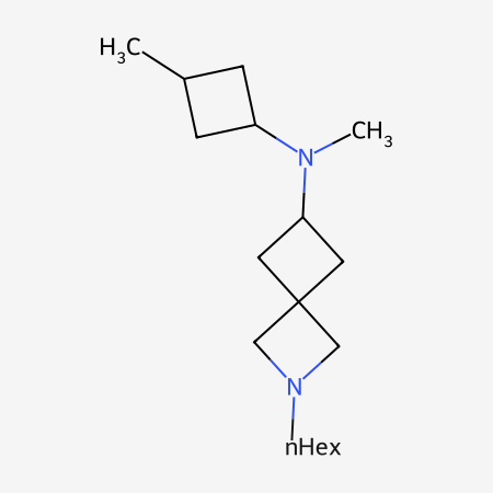 CCCCCCN1CC2(CC(N(C)C3CC(C)C3)C2)C1